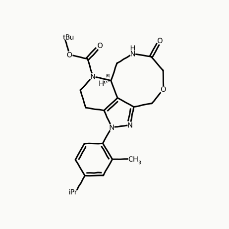 Cc1cc(C(C)C)ccc1-n1nc2c3c1CCN(C(=O)OC(C)(C)C)[C@H]3CNC(=O)COC2